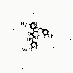 COc1cc(NC(=O)C(=O)c2c(C)n(Cc3ccc(Cl)cc3)c3ncc(C)cc23)ccn1